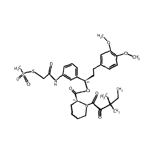 CCC(C)(C)C(=O)C(=O)N1CCCC[C@H]1C(=O)O[C@H](CCc1ccc(OC)c(OC)c1)c1cccc(NC(=O)CSS(C)(=O)=O)c1